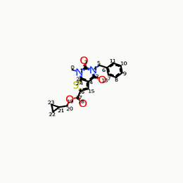 Cn1c(=O)n(Cc2ccccc2)c(=O)c2cc(C(=O)OCC3CC3)sc21